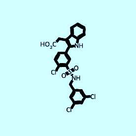 O=C(O)Cc1c(-c2ccc(Cl)c(S(=O)(=O)NCc3cc(Cl)cc(Cl)c3)c2)[nH]c2ccccc12